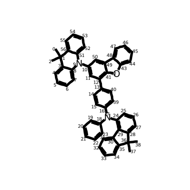 CC1(C)c2ccccc2N(c2cc(-c3ccc(N(c4ccccc4)c4cccc5c4-c4ccccc4C5(C)C)cc3)c3oc4ccccc4c3c2)c2ccccc21